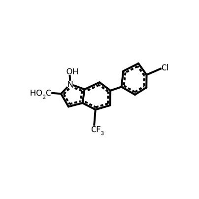 O=C(O)c1cc2c(C(F)(F)F)cc(-c3ccc(Cl)cc3)cc2n1O